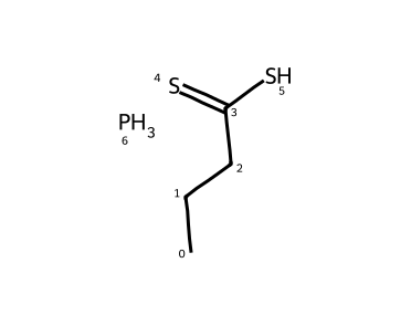 CCCC(=S)S.P